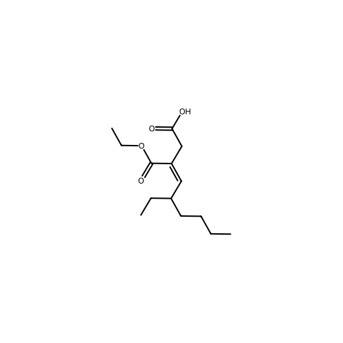 CCCCC(C=C(CC(=O)O)C(=O)OCC)CC